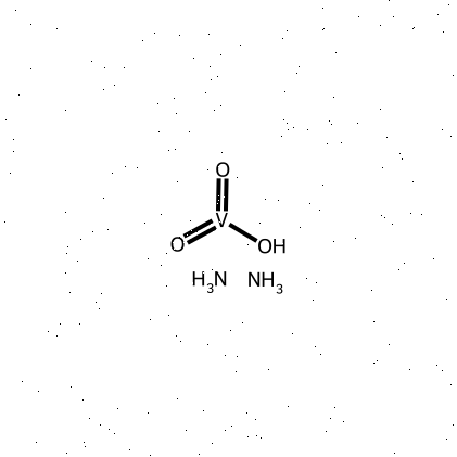 N.N.[O]=[V](=[O])[OH]